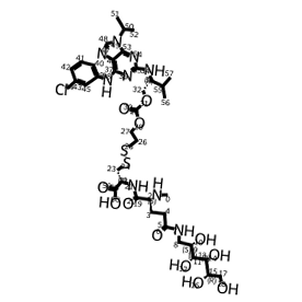 CN[C@@H](CCC(=O)NC[C@H](O)[C@@H](O)[C@H](O)[C@H](O)CO)C(=O)N[C@@H](CSSCCOC(=O)OC[C@H](Nc1nc(Nc2cccc(Cl)c2)c2ncn(C(C)C)c2n1)C(C)C)C(=O)O